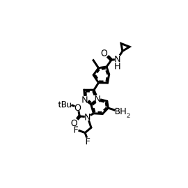 Bc1cc(N(CC(F)F)C(=O)OC(C)(C)C)c2ncc(-c3ccc(C(=O)NC4CC4)c(C)c3)n2c1